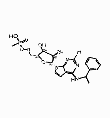 CC(Nc1nc(Cl)nc2c1ccn2[C@@H]1O[C@H](COOP(C)(=O)O)[C@@H](O)[C@H]1O)c1ccccc1